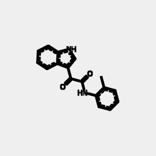 Cc1ccccc1NC(=O)C(=O)c1c[nH]c2ccccc12